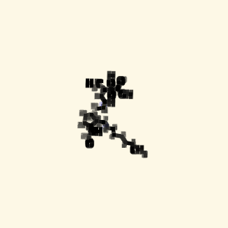 CCCCCC/C=C/[C@@H]1[C@@H](C/C=C\CC(C)C(O)(O)C(=O)O)CC[C@H]1NC=O